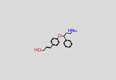 CNCCC(Oc1ccc(/C=C/CO)cc1)c1ccccc1